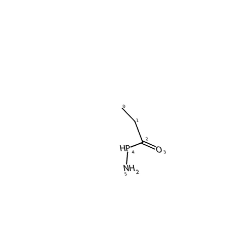 CCC(=O)PN